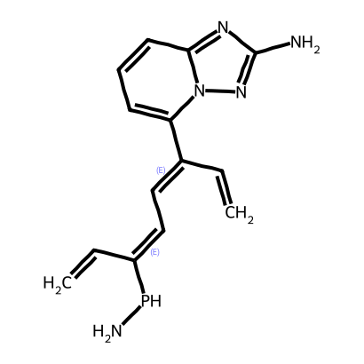 C=C/C(=C\C=C(/C=C)c1cccc2nc(N)nn12)PN